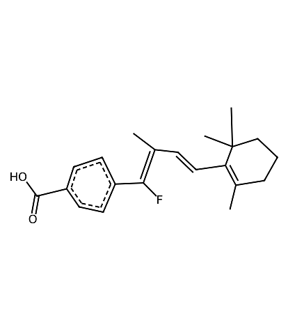 CC(C=CC1=C(C)CCCC1(C)C)=C(F)c1ccc(C(=O)O)cc1